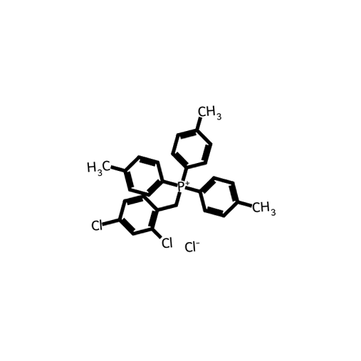 Cc1ccc([P+](Cc2ccc(Cl)cc2Cl)(c2ccc(C)cc2)c2ccc(C)cc2)cc1.[Cl-]